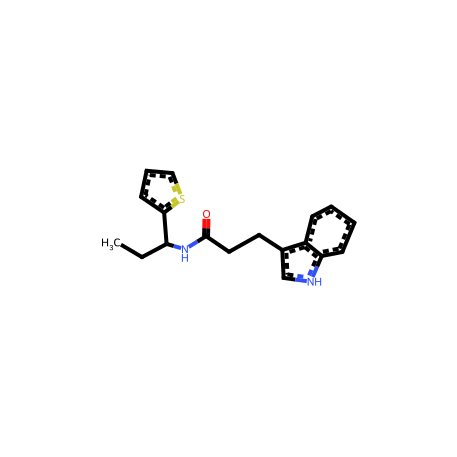 CCC(NC(=O)CCc1c[nH]c2ccccc12)c1cccs1